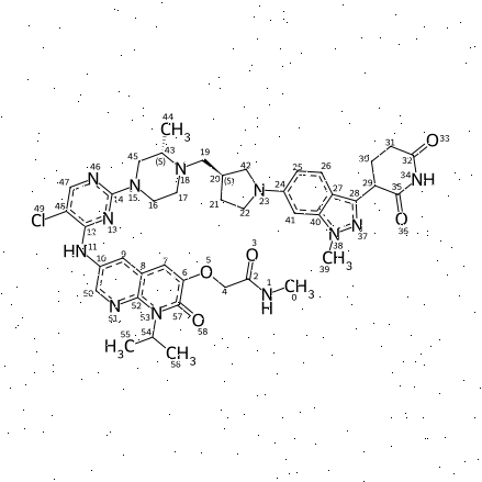 CNC(=O)COc1cc2cc(Nc3nc(N4CCN(C[C@@H]5CCN(c6ccc7c(C8CCC(=O)NC8=O)nn(C)c7c6)C5)[C@@H](C)C4)ncc3Cl)cnc2n(C(C)C)c1=O